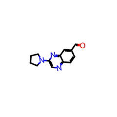 O=Cc1ccc2ncc(N3CCCC3)nc2c1